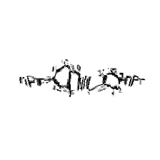 CCCc1ccc(C=NN=Cc2ccc(CCC)cc2F)cc1